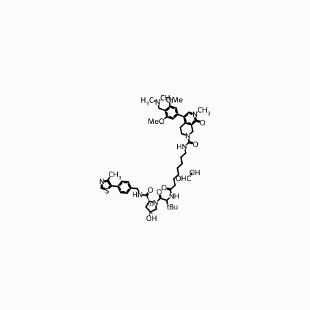 COc1cc(-c2cn(C)c(=O)c3c2CCN(C(=O)NCCCCCCCC(=O)NC(C(=O)N2C[C@H](O)C[C@H]2C(=O)NCc2ccc(-c4scnc4C)cc2)C(C)(C)C)C3)cc(OC)c1CN(C)C.O=CO